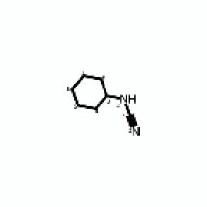 N#CNC1CCCCC1